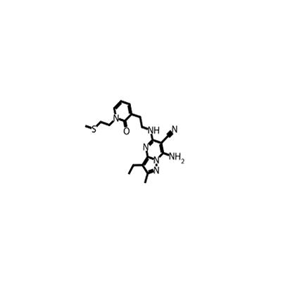 CCc1c(C)nn2c(N)c(C#N)c(NCCc3cccn(CCSC)c3=O)nc12